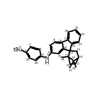 CC(C)(C)c1ccc(Nc2ccc3c(c2)C2(CC4CCC2(C)C4(C)C)c2ccccc2-3)cc1